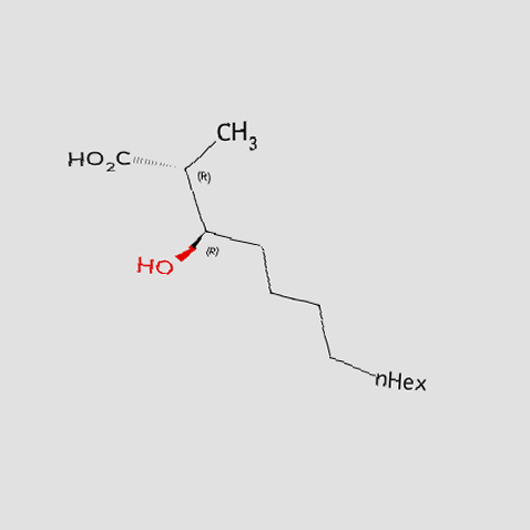 CCCCCCCCCC[C@@H](O)[C@@H](C)C(=O)O